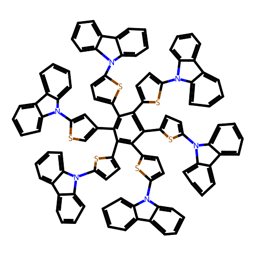 c1ccc2c(c1)c1ccccc1n2-c1cc(-c2c(-c3ccc(-n4c5ccccc5c5ccccc54)s3)c(-c3ccc(-n4c5ccccc5c5ccccc54)s3)c(-c3ccc(-n4c5ccccc5c5ccccc54)s3)c(-c3ccc(-n4c5ccccc5c5ccccc54)s3)c2-c2ccc(-n3c4ccccc4c4ccccc43)s2)cs1